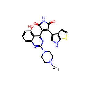 CN1CCN(c2nc(C3=C(c4c[nH]c5sccc45)C(=O)NC3=O)c3c(O)cccc3n2)CC1